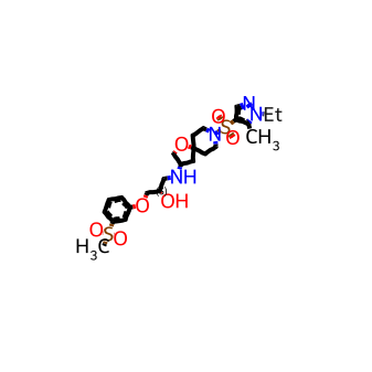 CCn1ncc(S(=O)(=O)N2CCC3(CC2)CC(NC[C@H](O)COc2cccc(S(C)(=O)=O)c2)CO3)c1C